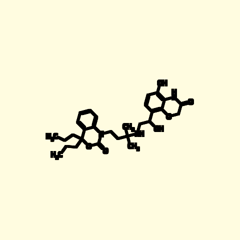 CCCC1(CCC)OC(=O)N(CCC(C)(C)NCC(O)c2ccc(O)c3c2OCC(=O)N3)c2ccccc21